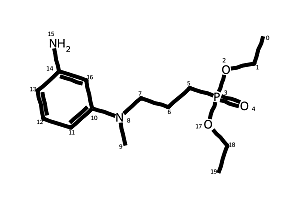 CCOP(=O)(CCCN(C)c1cccc(N)c1)OCC